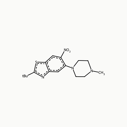 CN1CCN(c2cc3nc(C(C)(C)C)sc3cc2[N+](=O)[O-])CC1